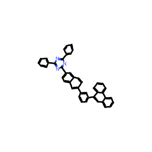 c1ccc(-c2nc(-c3ccccc3)nc(-c3ccc4cc(-c5cccc(-c6cc7ccccc7c7ccccc67)c5)ccc4c3)n2)cc1